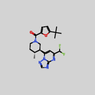 C[C@@H]1CCN(C(=O)c2ccc(C(C)(C)C)o2)C[C@H]1c1cc(C(F)F)nc2ncnn12